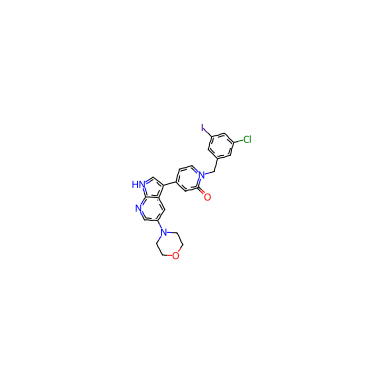 O=c1cc(-c2c[nH]c3ncc(N4CCOCC4)cc23)ccn1Cc1cc(Cl)cc(I)c1